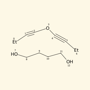 CCC#COC#CCC.OCCCCO